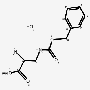 COC(=O)C(N)CNC(=O)OCc1ccccc1.Cl